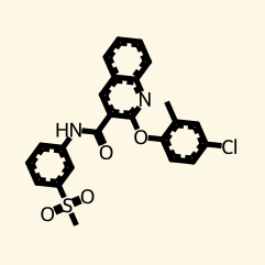 Cc1cc(Cl)ccc1Oc1nc2ccccc2cc1C(=O)Nc1cccc(S(C)(=O)=O)c1